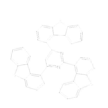 c1ccc2c(c1)sc1cccc(-c3cc(-c4cccc5sc6ccccc6c45)nc(-c4cccc5sc6ccccc6c45)n3)c12